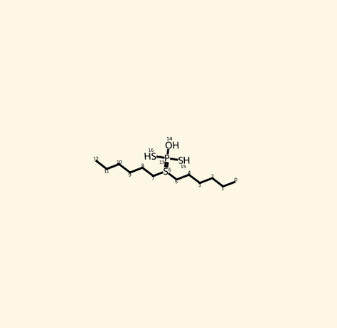 CCCCCCS(CCCCCC)=P(O)(S)S